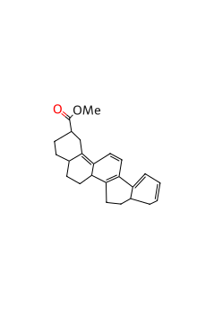 COC(=O)C1CCC2CCC3C(=C2C1)C=CC1=C3CCC2CC=CC=C12